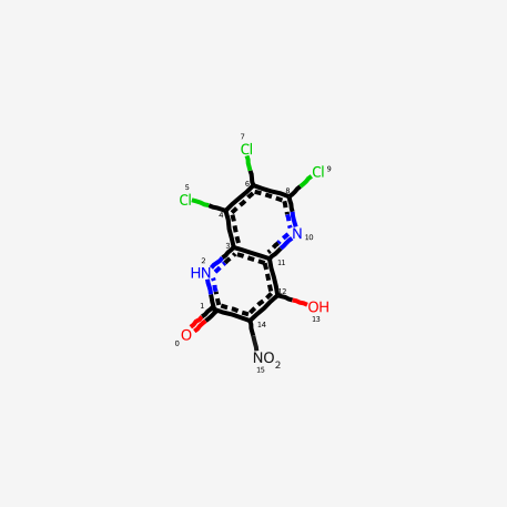 O=c1[nH]c2c(Cl)c(Cl)c(Cl)nc2c(O)c1[N+](=O)[O-]